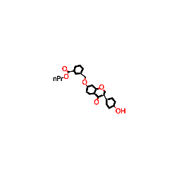 CCCOC(=O)c1cccc(COc2ccc3c(=O)c(-c4ccc(O)cc4)coc3c2)c1